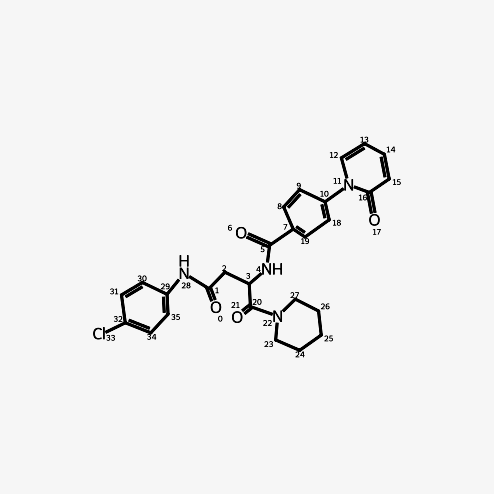 O=C(CC(NC(=O)c1ccc(-n2ccccc2=O)cc1)C(=O)N1CCCCC1)Nc1ccc(Cl)cc1